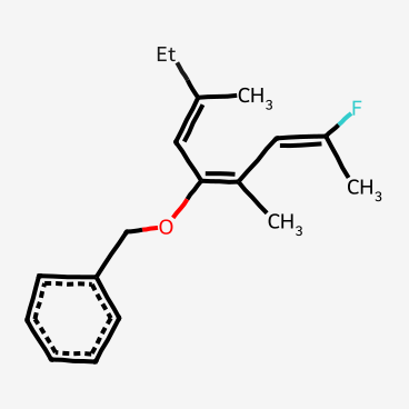 CC/C(C)=C/C(OCc1ccccc1)=C(C)\C=C(/C)F